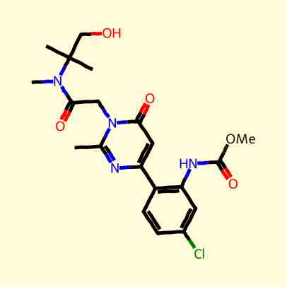 COC(=O)Nc1cc(Cl)ccc1-c1cc(=O)n(CC(=O)N(C)C(C)(C)CO)c(C)n1